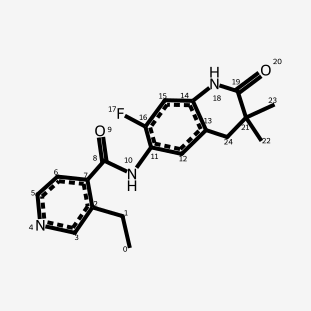 CCc1cnccc1C(=O)Nc1cc2c(cc1F)NC(=O)C(C)(C)C2